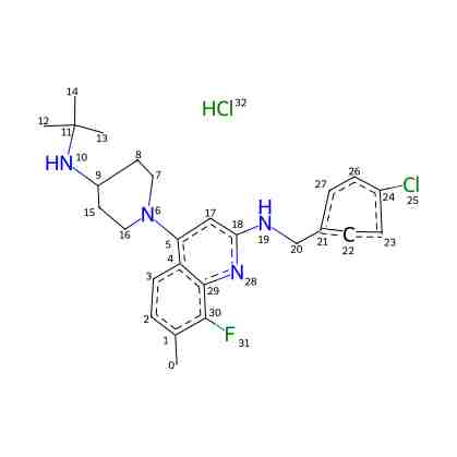 Cc1ccc2c(N3CCC(NC(C)(C)C)CC3)cc(NCc3ccc(Cl)cc3)nc2c1F.Cl